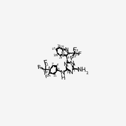 Nc1nc(Nc2ccc(C(F)(F)F)c(F)c2)nc(-c2c(C(F)(F)F)nc3ccccn23)n1